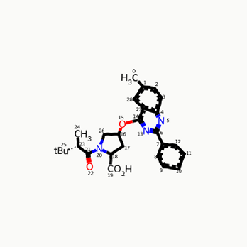 Cc1ccc2nc(-c3ccccc3)nc(OC3CC(C(=O)O)N(C(=O)[C@@H](C)C(C)(C)C)C3)c2c1